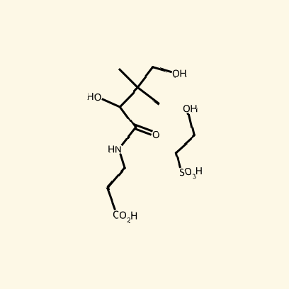 CC(C)(CO)C(O)C(=O)NCCC(=O)O.O=S(=O)(O)CCO